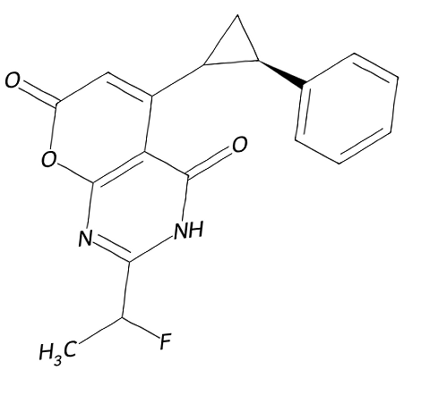 CC(F)c1nc2oc(=O)cc(C3C[C@H]3c3ccccc3)c2c(=O)[nH]1